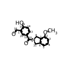 COc1cccc2c1CN(C(=O)c1ccc(O)c(C=O)c1)C2